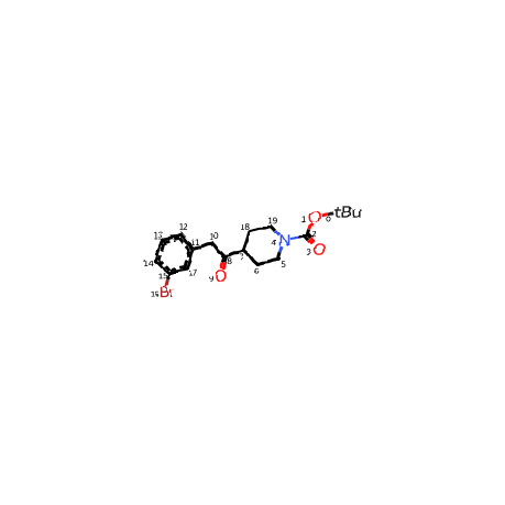 CC(C)(C)OC(=O)N1CCC(C(=O)Cc2cccc(Br)c2)CC1